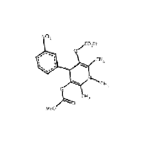 CCOC(=O)OC1=C(C)N(C)C(C)=C(OC(=O)OC)C1c1cccc([N+](=O)[O-])c1